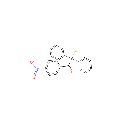 O=C(c1ccc([N+](=O)[O-])cc1)C(S)(c1ccccc1)c1ccccc1